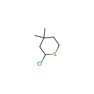 CC1(C)CCSC(Cl)C1